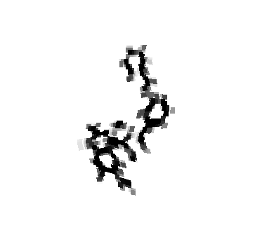 Cc1cc(NC(=O)OC(C)(C)C)c(NC(=O)CC(=O)c2cccc(OCc3ccccc3)c2)cc1C(F)(F)F